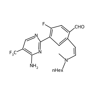 CCCCCCN(C)/C=C\c1cc(-c2ncc(C(F)(F)F)c(N)n2)c(F)cc1C=O